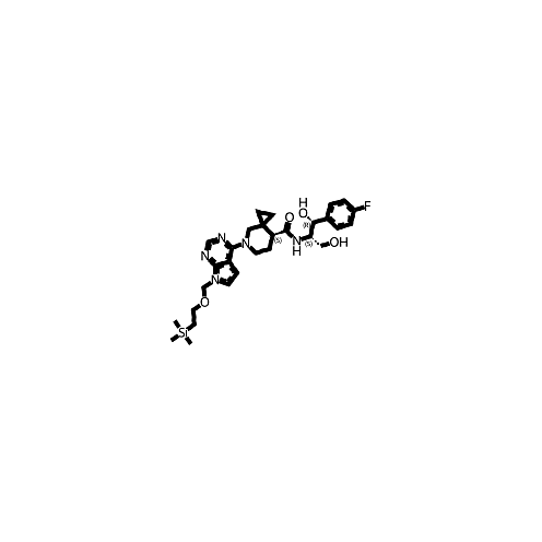 C[Si](C)(C)CCOCn1ccc2c(N3CC[C@H](C(=O)N[C@@H](CO)[C@H](O)c4ccc(F)cc4)C4(CC4)C3)ncnc21